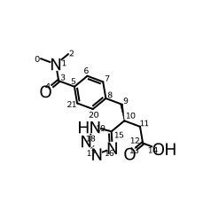 CN(C)C(=O)c1ccc(C[C@@H](CC(=O)O)c2nnn[nH]2)cc1